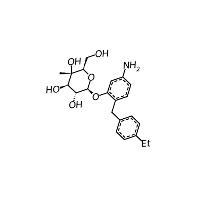 CCc1ccc(Cc2ccc(N)cc2O[C@@H]2O[C@H](CO)[C@@](C)(O)[C@H](O)[C@H]2O)cc1